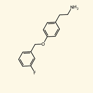 NCCc1ccc(OCc2cccc(F)c2)cc1